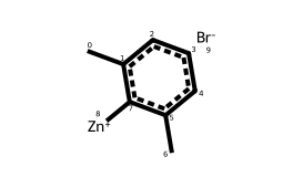 Cc1cccc(C)[c]1[Zn+].[Br-]